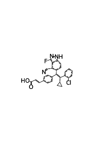 N#Cc1c(C(=C(c2ccccc2Cl)C2CC2)c2ccc(C=CC(=O)O)cc2)ccc2[nH]nc(F)c12